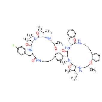 CCC(C)[C@@H]1NC[C@@H](C)Oc2ccccc2CCCNC(=O)[C@@H](Cc2ccccc2)NC(=O)[C@@H](c2ccc3c(c2)O[C@H](C)CN[C@@H](C(C)C)C(=O)N(C)[C@H](C)C(=O)N[C@H](Cc2ccc(F)cc2)C(=O)NCCC3)N(C)C1=O